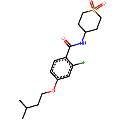 CC(C)CCOc1ccc(C(=O)NC2CCS(=O)(=O)CC2)c(F)c1